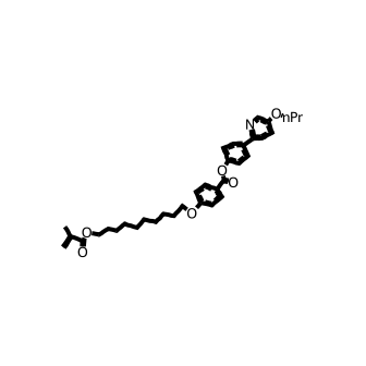 C=C(C)C(=O)OCCCCCCCCCCOc1ccc(C(=O)Oc2ccc(-c3ccc(OCCC)cn3)cc2)cc1